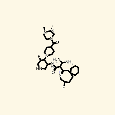 C[C@@H]1CN(C(=O)C2CCN(C3C(F)CNCC3NC(=O)C(/C3=N/CC(F)CCC4(CCCCC4)C3)C(N)N)CC2)CCN1C